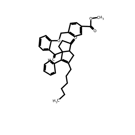 C=C(c1ccccc1OCc1ccc(C(=O)OC)cc1)C12CCC(=O)C1CC(CCCCCC)=C2c1ccccc1